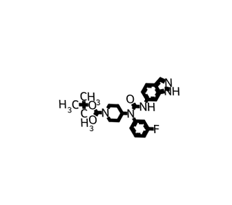 CC(C)(C)OC(=O)N1CCC(N(C(=O)Nc2ccc3cn[nH]c3c2)c2cccc(F)c2)CC1